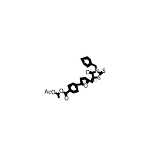 CC(=O)OC(C)OC(=O)c1ccc(-c2ccc(/C=C3/SC(=S)N(Cc4ccccc4)C3=O)o2)cc1